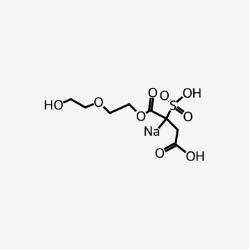 O=C(O)C[C]([Na])(C(=O)OCCOCCO)S(=O)(=O)O